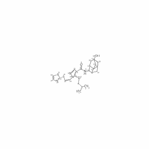 CC(C)COc1c(C(=O)NC2C3CC4CC2CC(O)(C4)C3)cnn1/C=C\Sc1nccs1